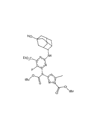 CCOC(=O)c1nc(NC2C3CC4CC2CC(O)(C4)C3)nc(N(C(=O)OC(C)(C)C)c2cc(C)n(C(=O)OC(C)(C)C)n2)c1F